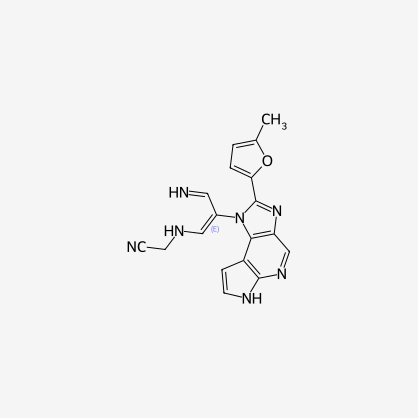 Cc1ccc(-c2nc3cnc4[nH]ccc4c3n2/C(C=N)=C/NCC#N)o1